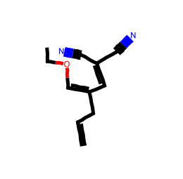 C=CCC(C=C(C#N)C#N)=COCC